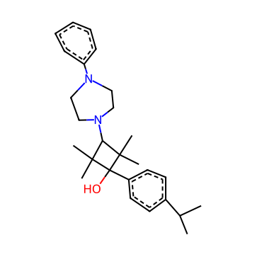 CC(C)c1ccc(C2(O)C(C)(C)C(N3CCN(c4ccccc4)CC3)C2(C)C)cc1